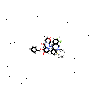 CN1Cc2c(ccc(F)c2F)C(N2C3COCCN3C(=O)c3c(OCc4ccccc4)c(=O)ccn32)c2cccc(SC=O)c21